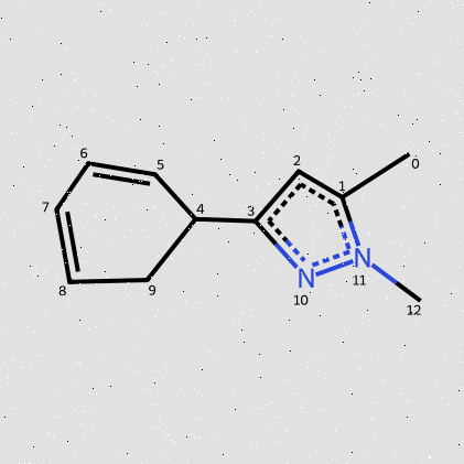 Cc1cc(C2C=CC=CC2)nn1C